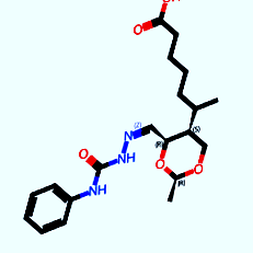 CC(CCCCC(=O)O)[C@H]1CO[C@@H](C)O[C@H]1/C=N\NC(=O)Nc1ccccc1